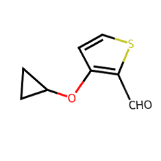 O=Cc1sccc1OC1CC1